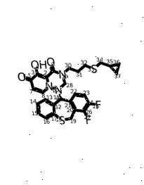 O=C1c2c(O)c(=O)ccn2N([C@@H]2c3ccccc3SCc3c2ccc(F)c3F)CN1CCCSCC1CC1